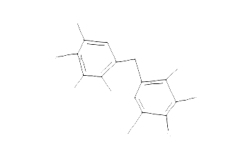 Cc1cc(Cc2cc(C)c(N)c(C(C)C)c2Cl)c(Cl)c(C(C)C)c1N